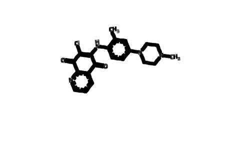 Cc1cc(N2CCN(C)CC2)ccc1NC1=C(Cl)C(=O)c2ncccc2C1=O